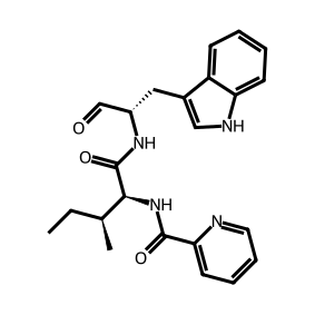 CC[C@H](C)[C@H](NC(=O)c1ccccn1)C(=O)N[C@H](C=O)Cc1c[nH]c2ccccc12